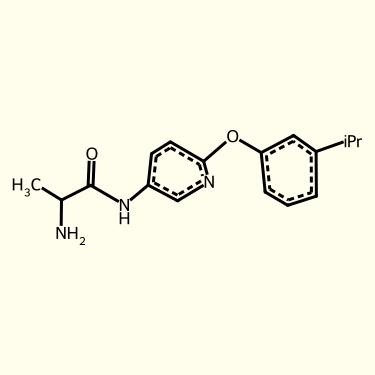 CC(N)C(=O)Nc1ccc(Oc2cccc(C(C)C)c2)nc1